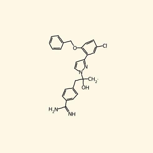 [CH2]C(O)(Cc1ccc(C(=N)N)cc1)n1ccc(-c2cc(Cl)ccc2OCc2ccccc2)n1